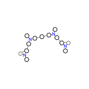 c1ccc(N(c2ccc(-c3ccc(-c4ccc(N(c5ccccc5)c5ccc(-c6ccc7c(c6)C6CCCC6N7c6ccccc6)cc5)cc4)cc3)cc2)c2ccc(-c3ccc4c(c3)C3CCCC3N4c3ccccc3)cc2)cc1